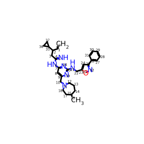 C=CC(CC(=N)Nc1cc(CN2CCCC(C)CC2)nc(NCc2cc(-c3ccccc3)no2)n1)C1CC1